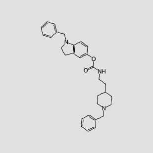 O=C(NCCC1CCN(Cc2ccccc2)CC1)Oc1ccc2c(c1)CCN2Cc1ccccc1